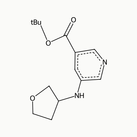 CC(C)(C)OC(=O)c1cncc(NC2CCOC2)c1